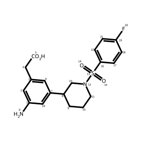 Nc1cc(CC(=O)O)cc(C2CCCN(S(=O)(=O)c3ccc(F)cc3)C2)c1